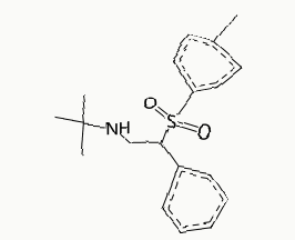 Cc1ccc(S(=O)(=O)C(CNC(C)(C)C)c2ccccc2)cc1